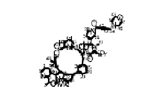 CO[C@@H](C)c1ncccc1-c1c2c3cc(ccc3n1C)-c1cccc(c1)C[C@H](NC(=O)C(C(C)C)N(C)C(=O)[C@H]1CCN(C(=O)C#CCN3CCOCC3)C1)C(=O)N1CCC[C@H](N1)C(=O)OCC(C)(C)C2